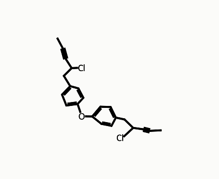 CC#CC(Cl)Cc1ccc(Oc2ccc(CC(Cl)C#CC)cc2)cc1